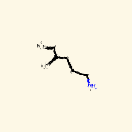 C=CC(=C)CCCN